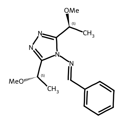 CO[C@@H](C)c1nnc([C@H](C)OC)n1N=Cc1ccccc1